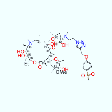 CC[C@H]1OC(=O)[C@H](C)C([C@H]2C[C@@](C)(OC)[C@@H](O)[C@H](C)O2)[C@H](C)[C@@H](O[C@@H]2O[C@H](C)C[C@H](N(C)CCn3cc(COc4ccc(S(C)(=O)=O)cc4)nn3)[C@H]2O)[C@](C)(O)C[C@@H](C)CN(C)[C@H](C)[C@@H](O)[C@]1(C)O